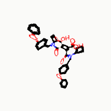 O=C(O)[C@@H]1[C@@H](C(=O)O)[C@@H](C(=O)N(Cc2ccc(Oc3ccccc3)cc2)C2CCC2)[C@@H]1C(=O)N(Cc1ccc(Oc2ccccc2)cc1)C1CCC1